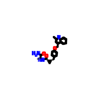 Cc1cc(COc2ccc(C[C@@H]3C[C@@H]3C(=O)N[C@H](C)C(N)=O)cc2)c2ccccc2n1